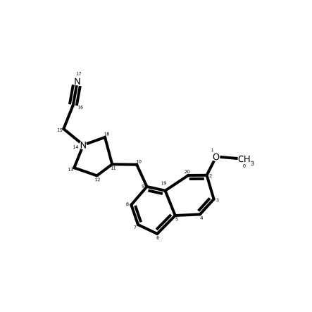 COc1ccc2cccc(CC3CCN(CC#N)C3)c2c1